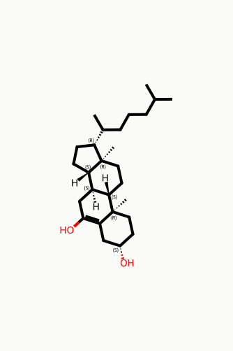 CC(C)CCCC(C)[C@H]1CC[C@H]2[C@@H]3CC(O)=C4C[C@@H](O)CC[C@]4(C)[C@H]3CC[C@]12C